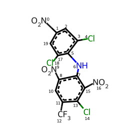 O=[N+]([O-])c1cc(Cl)c(Nc2c([N+](=O)[O-])cc(C(F)(F)F)c(Cl)c2[N+](=O)[O-])c(Cl)c1